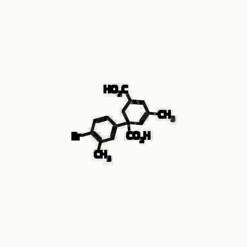 CC1=CC(C(=O)O)(c2ccc(Br)c(C)c2)CC(C(=O)O)=C1